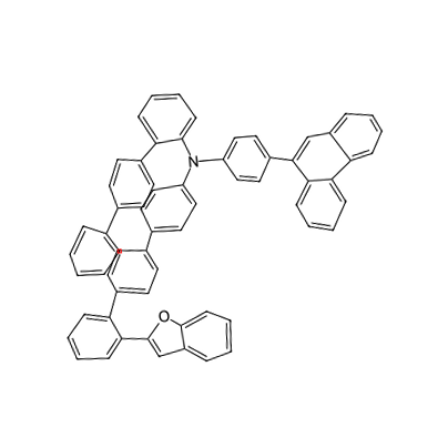 c1ccc(-c2ccc(-c3ccccc3N(c3ccc(-c4ccc(-c5ccccc5-c5cc6ccccc6o5)cc4)cc3)c3ccc(-c4cc5ccccc5c5ccccc45)cc3)cc2)cc1